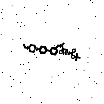 CCN1CCN(c2ccc(-c3cccc(CN(C)C(=O)CNC(=O)OC(C)(C)C)c3)cc2)CC1